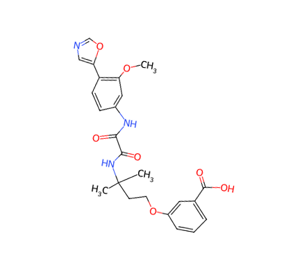 COc1cc(NC(=O)C(=O)NC(C)(C)CCOc2cccc(C(=O)O)c2)ccc1-c1cnco1